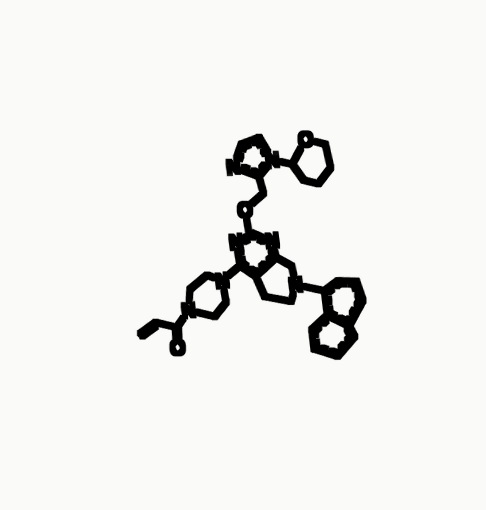 C=CC(=O)N1CCN(c2nc(OCc3nccn3C3CCCCO3)nc3c2CCN(c2cccc4ccccc24)C3)CC1